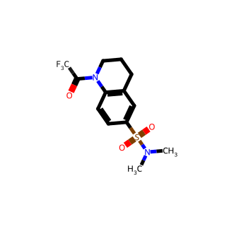 CN(C)S(=O)(=O)c1ccc2c(c1)CCCN2C(=O)C(F)(F)F